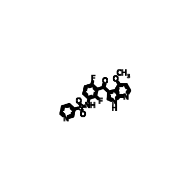 COc1ccnc2[nH]cc(C(=O)c3c(F)ccc(NS(=O)(=O)c4cccnc4)c3F)c12